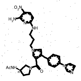 CC(=O)N[C@@H]1CCN(C(=O)c2cn(CCCNc3ccc([N+](=O)[O-])c(N)n3)cc2-c2ccc(-n3ccnc3)cc2)C1